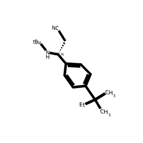 CCC(C)(C)c1ccc([C@@H](CC#N)NC(C)(C)C)cc1